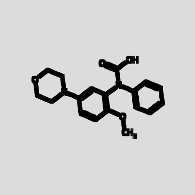 COc1ccc(N2CCOCC2)cc1N(C(=O)O)c1ccccc1